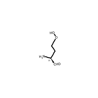 N[C@H](C=O)CCOO